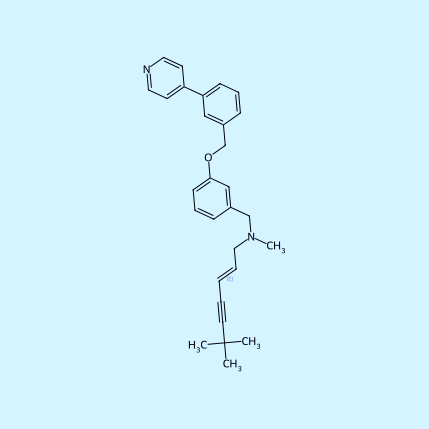 CN(C/C=C/C#CC(C)(C)C)Cc1cccc(OCc2cccc(-c3ccncc3)c2)c1